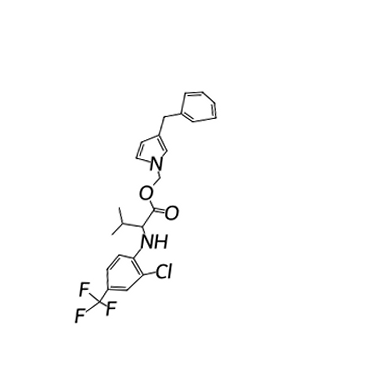 CC(C)C(Nc1ccc(C(F)(F)F)cc1Cl)C(=O)OCn1ccc(Cc2ccccc2)c1